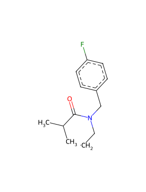 [CH2]CN(Cc1ccc(F)cc1)C(=O)C(C)C